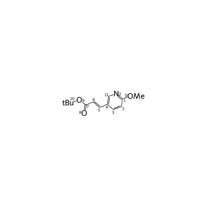 COc1ccc(/C=C/C(=O)OC(C)(C)C)cn1